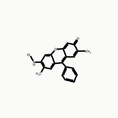 CCNc1cc2oc3cc(=O)c(C)cc-3c(-c3ccccc3)c2cc1C